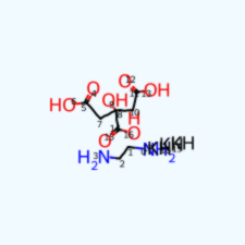 NCCN.O=C(O)CC(O)(CC(=O)O)C(=O)O.[KH].[KH].[KH]